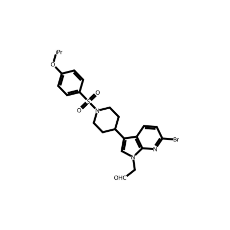 CC(C)Oc1ccc(S(=O)(=O)N2CCC(c3cn(CC=O)c4nc(Br)ccc34)CC2)cc1